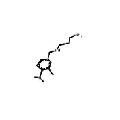 CN(C)c1ccc(CNCCCN)cc1F